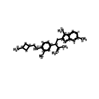 C=C(C)C(Cc1sc2nc(C)ccc2c1N)c1ccc(NCC2CC(N)C2)c(C#N)c1